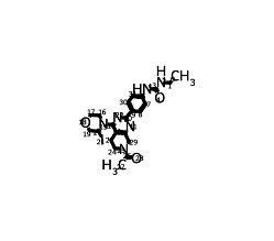 CCNC(=O)Nc1ccc(-c2nc3c(c(N4CCOC[C@@H]4I)n2)CCN(C(C)=O)C3)cc1